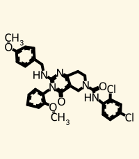 COc1ccc(CNc2nc3c(c(=O)n2-c2ccccc2OC)CN(C(=O)Nc2ccc(Cl)cc2Cl)CC3)cc1